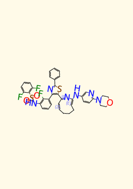 O=S(=O)(Nc1cccc(-c2nc(-c3ccccc3)sc2C2=N/C(Nc3ccc(N4CCOCC4)nc3)=C/CCC/C=C\2)c1F)c1c(F)cccc1F